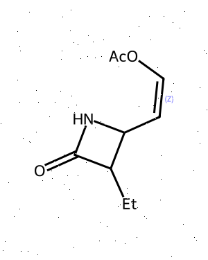 CCC1C(=O)NC1/C=C\OC(C)=O